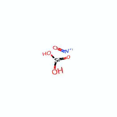 O=[Si](O)O.[N+]=O